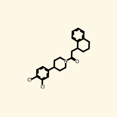 O=C(CC1CCCc2ccccc21)N1CCC(c2ccc(Cl)c(Cl)c2)CC1